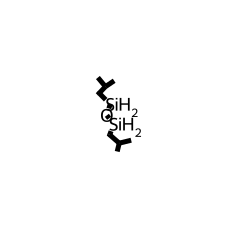 CC(C)C[SiH2]O[SiH2]CC(C)C